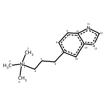 C[N+](C)(C)CCCc1ccc2ncsc2c1